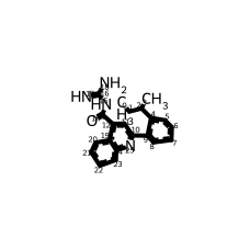 CCC(C)c1ccccc1-c1cc(C(=O)NC(=N)N)c2ccccc2n1